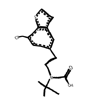 CC(C)(C)N(CCc1cc(Cl)c2sccc2c1)C(=O)O